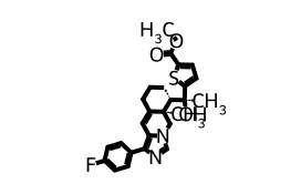 COC(=O)c1ccc([C@@](C)(O)[C@H]2CCCC3=Cc4c(-c5ccc(F)cc5)ncn4C[C@@]32C)s1